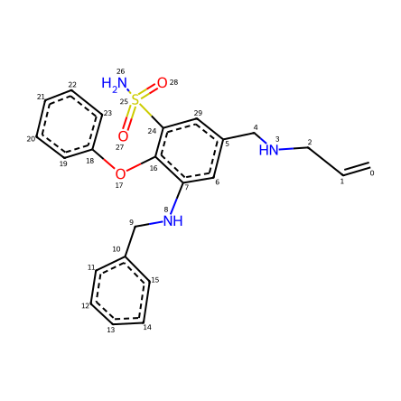 C=CCNCc1cc(NCc2ccccc2)c(Oc2ccccc2)c(S(N)(=O)=O)c1